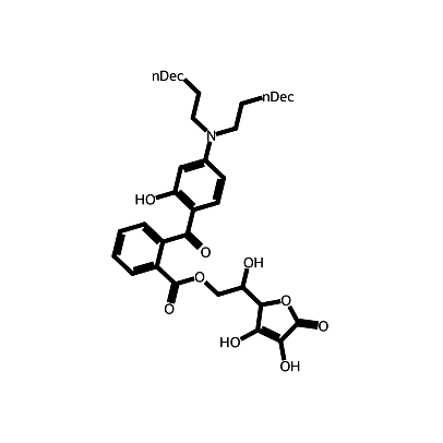 CCCCCCCCCCCCN(CCCCCCCCCCCC)c1ccc(C(=O)c2ccccc2C(=O)OCC(O)C2OC(=O)C(O)=C2O)c(O)c1